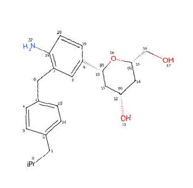 CC(C)Cc1ccc(Cc2cc([C@H]3C[C@@H](O)C[C@@H](CO)O3)ccc2N)cc1